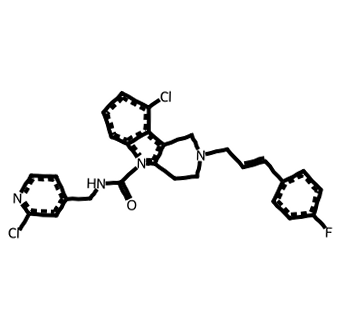 O=C(NCc1ccnc(Cl)c1)n1c2c(c3c(Cl)cccc31)CN(CC=Cc1ccc(F)cc1)CC2